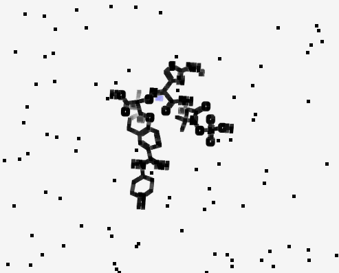 CC1(C)[C@H](NC(=O)/C(=N\O[C@](C)(C(=O)O)[C@H]2CCc3cc(C(=N)NC4CCNCC4)ccc3O2)c2csc(N)n2)C(=O)N1OS(=O)(=O)O